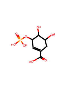 O=C(O)C1=CC(OP(=O)(O)O)C(O)C(O)C1